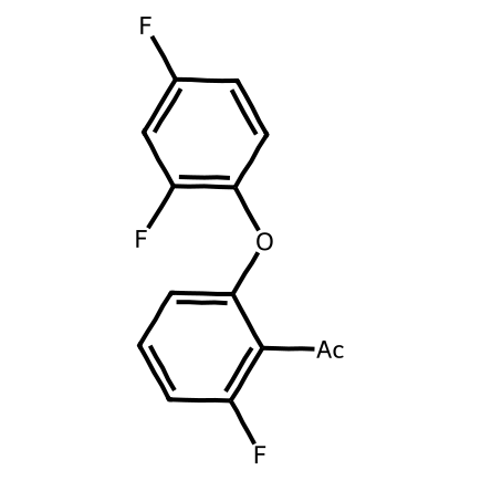 CC(=O)c1c(F)cccc1Oc1ccc(F)cc1F